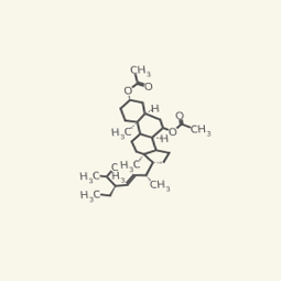 CC[C@H](/C=C/[C@@H](C)[C@H]1CCC2[C@@H]3C(OC(C)=O)C[C@@H]4C[C@@H](OC(C)=O)CC[C@]4(C)C3CC[C@@]21C)C(C)C